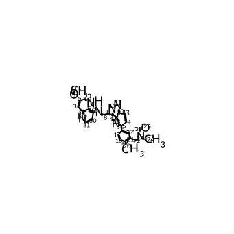 COc1cnc2c(NCc3nnc4ccc(-c5ccc(C)c(CN(C)C=O)c5)nn34)ccnc2c1